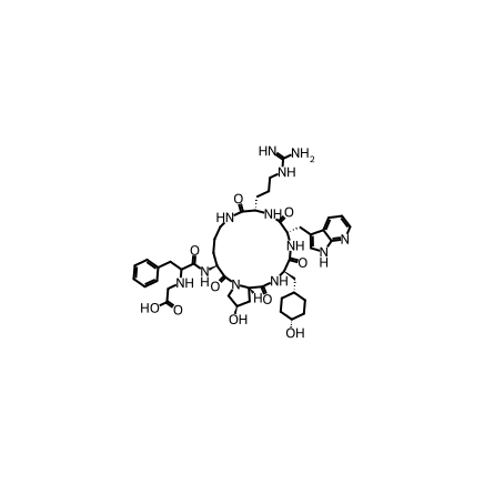 N=C(N)NCCC[C@@H]1NC(=O)[C@H](Cc2c[nH]c3ncccc23)NC(=O)[C@@H](C[C@H]2CC[C@@H](O)CC2)NC(=O)[C@@H]2C[C@@H](O)CN2C(=O)[C@@H](NC(=O)C(Cc2ccccc2)NCC(=O)O)CCCNC1=O